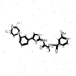 C[C@@H]1CN(c2cccc(-c3csc(NC(=O)[C@H](C)NC(=O)c4ccnc(C(C)(C)C)c4)n3)c2)C[C@H](C)O1